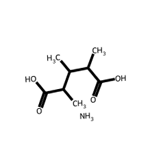 CC(C(=O)O)C(C)C(C)C(=O)O.N